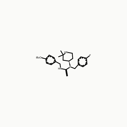 C=C(NCc1ccc(OCC(C)C)cc1)N(Cc1ccc(F)cc1)[C@@H]1CCNC(C)(C)C1